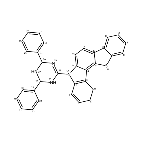 C1=Cc2c(c3c4sc5ccccc5c4ccc3n2C2=NC(c3ccccc3)NC(c3ccccc3)N2)CC1